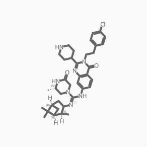 C[C@@H]1C(/N=C(/Nc2ccc3c(=O)n(CCc4ccc(Cl)cc4)c(C4CCNCC4)nc3c2)N2CC(=O)N[C@@H](C)C2)C[C@H]2C[C@@H]1C2(C)C